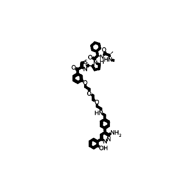 CN[C@@H](C)C(=O)N[C@H](C(=O)N1CCC[C@H]1c1nc(C(=O)c2cccc(OCCOCCOCCNCc3ccc(-c4cc(-c5ccccc5O)nnc4N)cc3)c2)cs1)C1CCCCC1